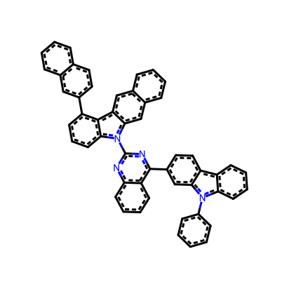 c1ccc(-n2c3ccccc3c3ccc(-c4nc(-n5c6cc7ccccc7cc6c6c(-c7ccc8ccccc8c7)cccc65)nc5ccccc45)cc32)cc1